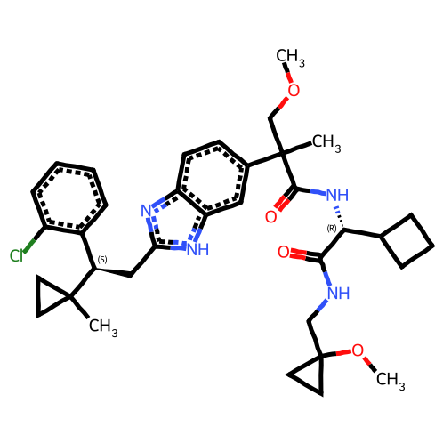 COCC(C)(C(=O)N[C@@H](C(=O)NCC1(OC)CC1)C1CCC1)c1ccc2nc(C[C@H](c3ccccc3Cl)C3(C)CC3)[nH]c2c1